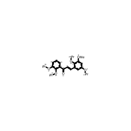 COc1cc(OC(C)C)cc(C=CC(=O)c2cccc(OC(C)C)c2OC(C)C)c1OC(C)C